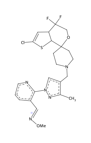 CO/N=C/c1cccnc1-n1cc(CN2CCC3(CC2)OCC(F)(F)C2C=C(Cl)SC23)c(C)n1